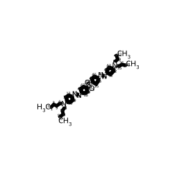 CCCCCN(CCCCC)c1ccc(N=Nc2ccc(S(=O)(=O)c3ccc(N=Nc4ccc(N(CCCC)CCCC)cc4)cc3)cc2)cc1